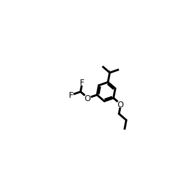 CCCOc1cc(OC(F)F)cc([C](C)C)c1